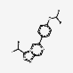 FC(F)Oc1ccc(-c2cn3c(C(F)F)nnc3cn2)cc1